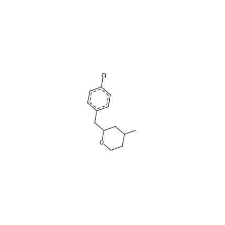 CC1CCOC(Cc2ccc(Cl)cc2)C1